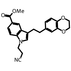 COC(=O)c1ccc2c(c1)c(CCc1ccc3c(c1)OCCO3)cn2CCC#N